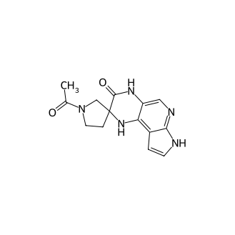 CC(=O)N1CCC2(C1)Nc1c(cnc3[nH]ccc13)NC2=O